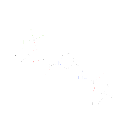 CC(C)(C)OC(=O)NCC1CCN(C(=O)COC2(OC(F)(F)F)CCC2)C1